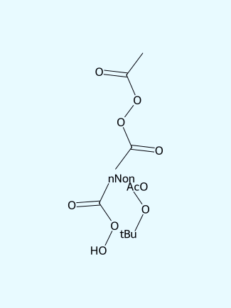 CC(=O)OOC(C)(C)C.CC(=O)OOC(C)=O.CCCCCCCCCC(=O)OO